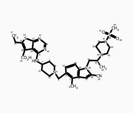 Cc1c(CN2CCC(Nc3ncnc4sc(CC(F)(F)F)c(C(=O)O)c34)CC2)ccc2c1cc(C#N)n2C[C@H](C)N1CCN(S(C)(=O)=O)CC1